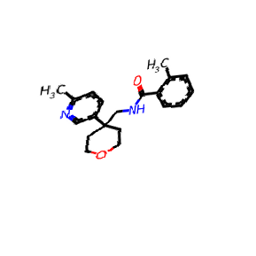 Cc1ccc(C2(CNC(=O)c3ccccc3C)CCOCC2)cn1